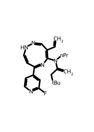 C=Cc1cn[nH]ccc(-c2ccnc(F)c2)nc1N(CCC)C(=C)CC(C)(C)C